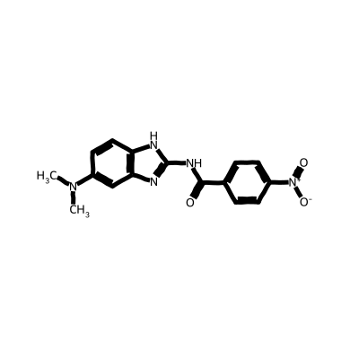 CN(C)c1ccc2[nH]c(NC(=O)c3ccc([N+](=O)[O-])cc3)nc2c1